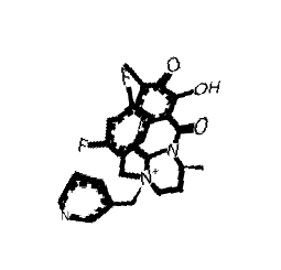 Cc1cn2c(c(O)c1=O)C(=O)N1C(C2)[N@@+](Cc2cccnc2)(Cc2ccc(F)cc2F)CC[C@@H]1C